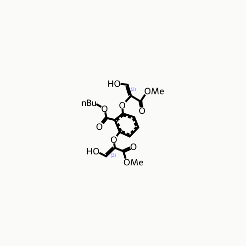 CCCCOC(=O)c1c(O/C(=C\O)C(=O)OC)cccc1O/C(=C\O)C(=O)OC